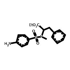 CCOC(=O)C(Cc1ccccc1)N(C)S(=O)(=O)c1ccc(N)cc1